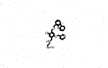 CC(=O)NCCNCc1cc(Cl)c(COCC2=C(Br)[C@](C)(C3C=C=CCC3)CC=C2)cc1OCc1cccnc1